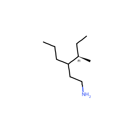 CCCC(CCN)[C@H](C)CC